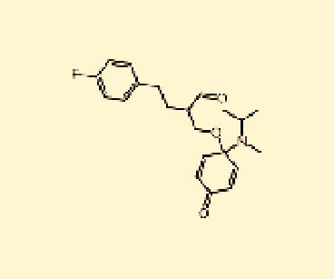 CC(C)N(C)C1(OCC(C=O)CCc2ccc(F)cc2)C=CC(=O)C=C1